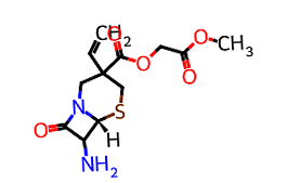 C=CC1(C(=O)OCC(=O)OC)CS[C@@H]2C(N)C(=O)N2C1